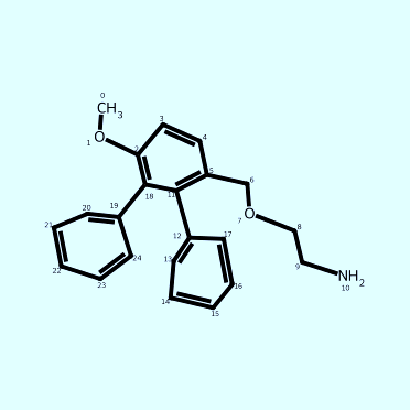 COc1ccc(COCCN)c(-c2ccccc2)c1-c1ccccc1